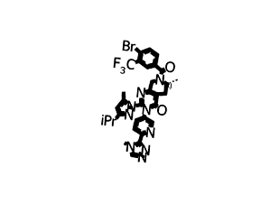 Cc1cc(C(C)C)nn1-c1nc2c(c(=O)n1-c1ccc(-c3nncn3C)nc1)C[C@@H](C)N(C(=O)c1ccc(Br)c(C(F)(F)F)c1)C2